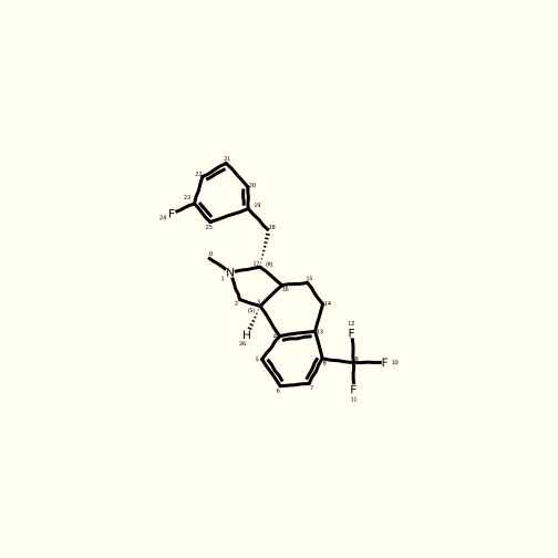 CN1C[C@@H]2c3cccc(C(F)(F)F)c3CCC2[C@H]1Cc1cccc(F)c1